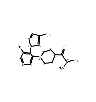 Cc1cnn(-c2c(F)cncc2N2CCC(C(=O)N(C)C)CC2)c1